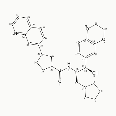 O=C(N[C@H](CN1CCCC1)[C@H](O)c1ccc2c(c1)OCCO2)C1CCN(c2cnc3cccnc3c2)C1